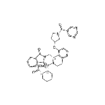 CNC(=O)[C@H]1CCCC[C@H]1C(=O)N1CCc2cccc(OC3CCN(C(=O)c4cncnc4)C3)c2[C@H]1CN1C(=O)c2ccccc2C1=O